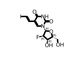 O=c1[nH]c(=O)n([C@@H]2O[C@H](CO)[C@@H](O)[C@H]2F)cc1C=CI